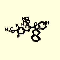 COc1c(F)cc(CN(C)C(=O)C2(N3CCNCC3)Cc3ccccc3C2)cc1F.Cl.Cl